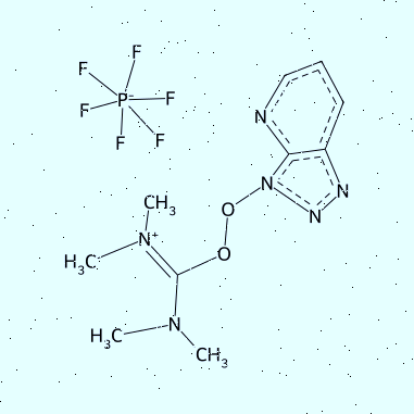 CN(C)C(OOn1nnc2cccnc21)=[N+](C)C.F[P-](F)(F)(F)(F)F